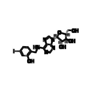 OC[C@H]1O[C@@H](n2cnc3c(NCc4ccc(I)cc4O)ncnc32)[C@@H](O)[C@@H]1O